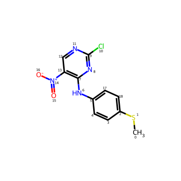 CSc1ccc(Nc2nc(Cl)ncc2[N+](=O)[O-])cc1